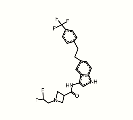 O=C(Nc1c[nH]c2ccc(CCc3ccc(C(F)(F)F)cc3)cc12)C1CN(CC(F)F)C1